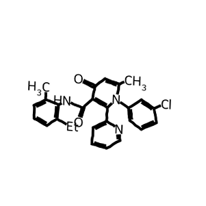 CCc1cccc(C)c1NC(=O)c1c(-c2ccccn2)n(-c2cccc(Cl)c2)c(C)cc1=O